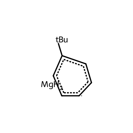 CC(C)(C)c1cc[c]cc1.[MgH2]